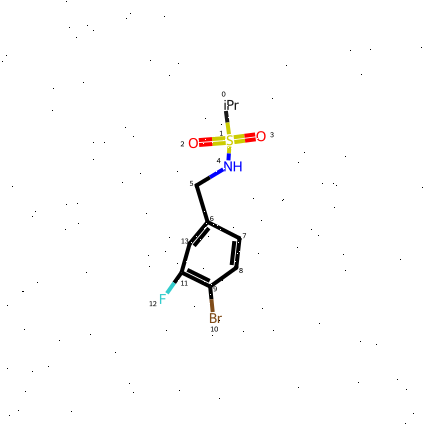 CC(C)S(=O)(=O)NCc1ccc(Br)c(F)c1